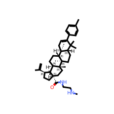 C=C(C)[C@@H]1CC[C@]2(C(=O)NCCNC)CC[C@]3(C)[C@H](CC[C@@H]4[C@@]5(C)CC=C(c6ccc(C)cc6)C(C)(C)[C@@H]5CC[C@]43C)[C@@H]12